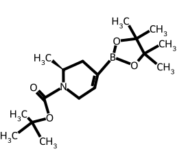 C[C@H]1CC(B2OC(C)(C)C(C)(C)O2)=CCN1C(=O)OC(C)(C)C